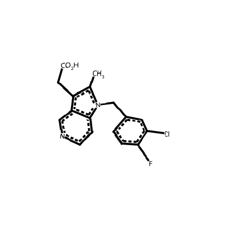 Cc1c(CC(=O)O)c2cnccc2n1Cc1ccc(F)c(Cl)c1